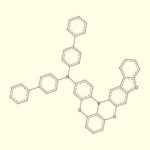 c1ccc(-c2ccc(N(c3ccc(-c4ccccc4)cc3)c3ccc4c(c3)Oc3cccc5c3B4c3cc4c(cc3O5)oc3ccccc34)cc2)cc1